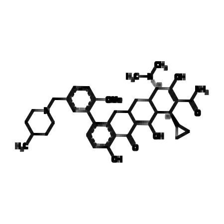 COc1ccc(CN2CCC(C)CC2)cc1-c1ccc(O)c2c1CC1CC3C(C(O)=C1C2=O)[C@H](C1CC1)C(C(N)=O)=C(O)[C@H]3N(C)C